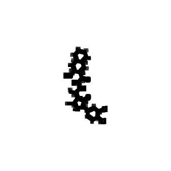 CC1=NN(c2ccc(Cl)c(Cl)c2)C(=O)/C1=C(/C)NNC(=O)c1cc2ccccc2cc1O